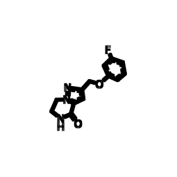 O=C1NCCn2nc(COc3cccc(F)c3)cc21